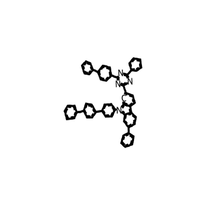 c1ccc(-c2ccc(-c3ccc(-n4c5cc(-c6ccccc6)ccc5c5ccc(-c6nc(-c7ccccc7)nc(-c7ccc(-c8ccccc8)cc7)n6)cc54)cc3)cc2)cc1